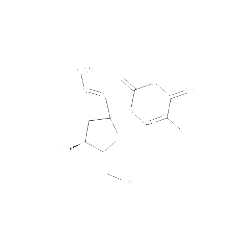 CO/N=C/[C@]1(n2cc(C)c(=O)[nH]c2=O)C[C@H](O)[C@@H](CO)O1